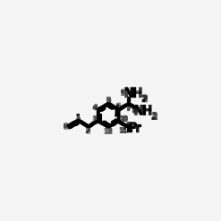 C=CCc1ccc(C(N)N)c(C(C)C)c1